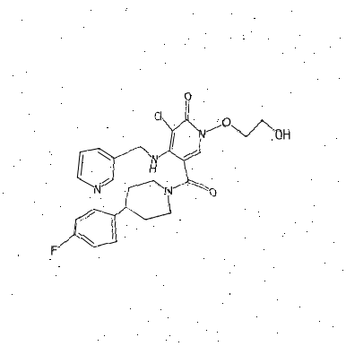 O=C(c1cn(OCCO)c(=O)c(Cl)c1NCc1cccnc1)N1CCC(c2ccc(F)cc2)CC1